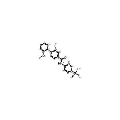 COc1cccnc1-c1ccc(C(=O)Nc2ccc(C(F)(F)F)cn2)cc1F